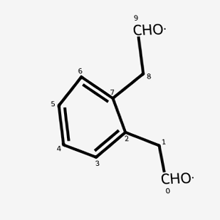 O=[C]Cc1ccccc1C[C]=O